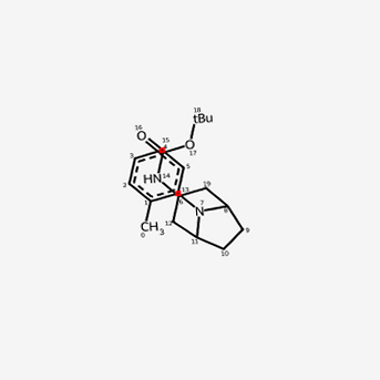 Cc1ccccc1N1C2CCC1CC(NC(=O)OC(C)(C)C)C2